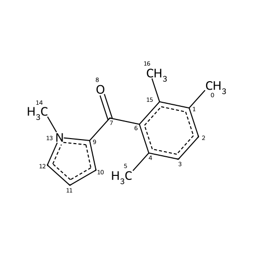 Cc1ccc(C)c(C(=O)c2cccn2C)c1C